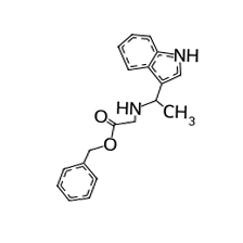 CC(NCC(=O)OCc1ccccc1)c1c[nH]c2ccccc12